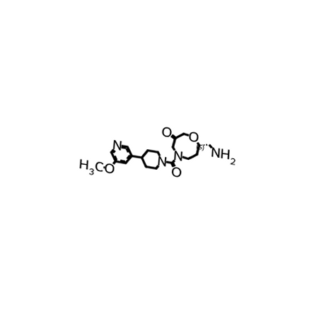 COc1cncc(C2CCN(C(=O)N3CC[C@@H](CN)OCC(=O)C3)CC2)c1